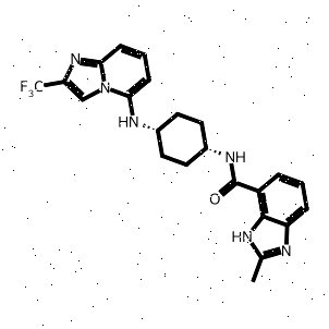 Cc1nc2cccc(C(=O)N[C@H]3CC[C@@H](Nc4cccc5nc(C(F)(F)F)cn45)CC3)c2[nH]1